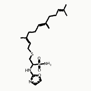 CC(C)=CCC/C(C)=C/CC/C(C)=C/CSCC(Nc1ncco1)S(N)(=O)=O